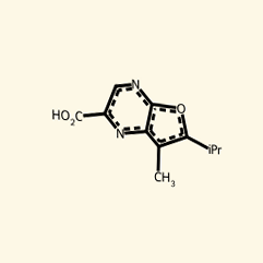 Cc1c(C(C)C)oc2ncc(C(=O)O)nc12